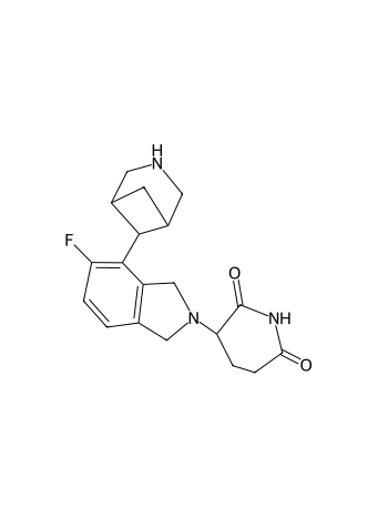 O=C1CCC(N2Cc3ccc(F)c(C4C5CNCC4C5)c3C2)C(=O)N1